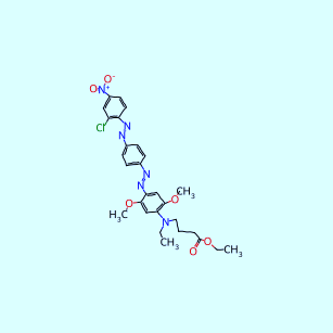 CCOC(=O)CCCN(CC)c1cc(OC)c(N=Nc2ccc(N=Nc3ccc([N+](=O)[O-])cc3Cl)cc2)cc1OC